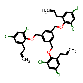 C=CCc1cc(Cl)cc(Cl)c1OCc1cc(COc2c(Cl)cc(Cl)cc2CC=C)cc(COc2c(Cl)cc(Cl)cc2CC=C)c1